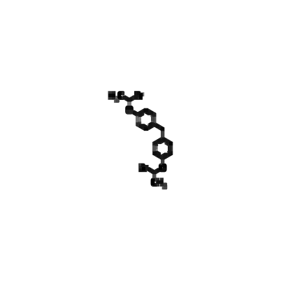 CC(Br)Oc1ccc(Cc2ccc(OC(C)Br)cc2)cc1